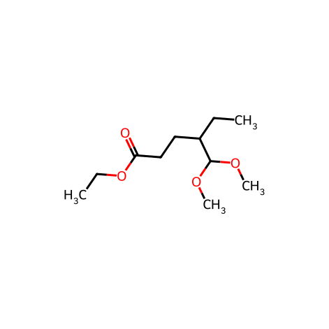 CCOC(=O)CCC(CC)C(OC)OC